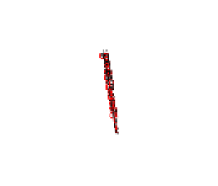 C=CCCCCCCCCCOCCOCCOCCOCCOCCOCCOCCOCCOCCOCCOCCOCCCOC(=O)C=C